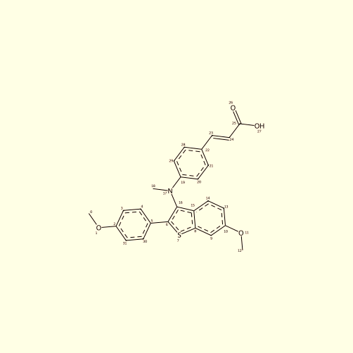 COc1ccc(-c2sc3cc(OC)ccc3c2N(C)c2ccc(C=CC(=O)O)cc2)cc1